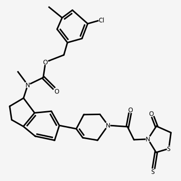 Cc1cc(Cl)cc(COC(=O)N(C)C2CCc3ccc(C4=CCN(C(=O)CN5C(=O)CSC5=S)CC4)cc32)c1